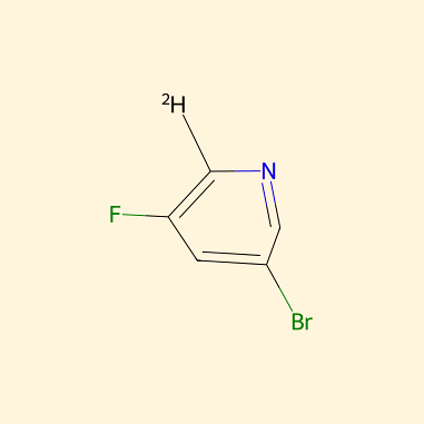 [2H]c1ncc(Br)cc1F